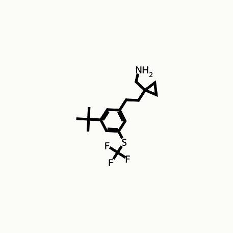 CC(C)(C)c1cc(CCC2(CN)CC2)cc(SC(F)(F)F)c1